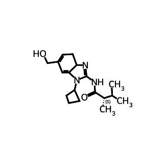 CC(C)[C@H](C)C(=O)NC1=NC2CC=C(CO)C=C2N1C1CCC1